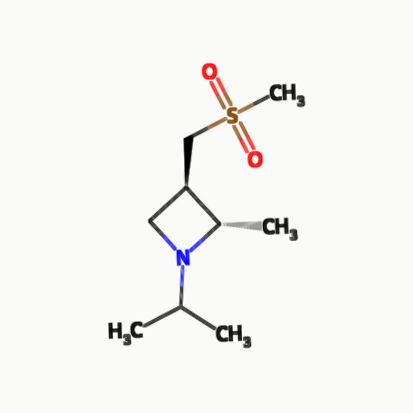 CC(C)N1C[C@@H](CS(C)(=O)=O)[C@@H]1C